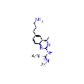 CC(=O)/N=C(\NC(C)=O)Nc1nc(C)c2cc(CCCN)ccc2n1